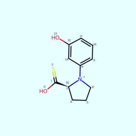 OC(=S)[C@@H]1CCCN1c1cccc(O)c1